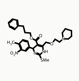 CSC1=NC(c2ccc(C)c([N+](=O)[O-])c2)C(C(=O)OCCCc2ccccc2)=C(COCCN2CCCCC2)N1